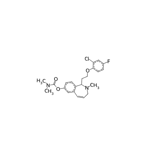 CN(C)C(=O)Oc1ccc2c(c1)C=CCN(C)C2CCOc1ccc(F)cc1Cl